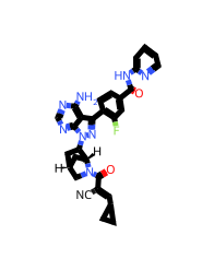 N#C/C(=C\C1CC1)C(=O)N1C[C@H]2CC(n3nc(-c4ccc(C(=O)Nc5ccccn5)cc4F)c4c(N)ncnc43)[C@H]1C2